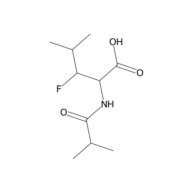 CC(C)C(=O)NC(C(=O)O)C(F)C(C)C